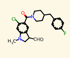 CN1CC(C=O)c2cc(C(=O)N3CCC(Cc4ccc(F)cc4)CC3)c(Cl)cc21